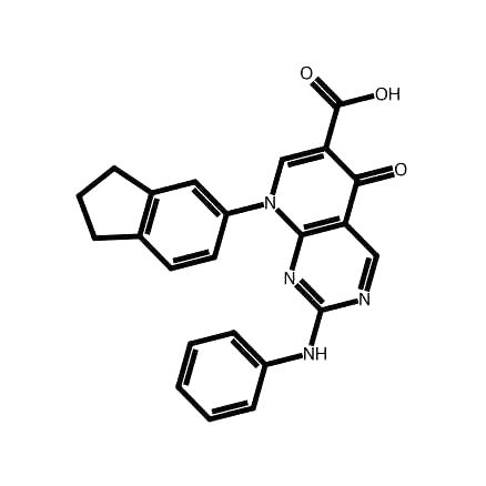 O=C(O)c1cn(-c2ccc3c(c2)CCC3)c2nc(Nc3ccccc3)ncc2c1=O